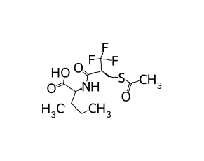 CC[C@H](C)[C@H](NC(=O)[C@H](CSC(C)=O)C(F)(F)F)C(=O)O